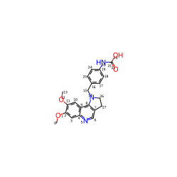 COc1cc2ncc3c(c2cc1OC)N(Cc1ccc(NC(=O)O)cc1)CC3